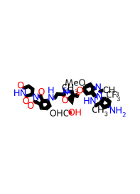 COc1cc2nc(C)nc(N[C@H](C)c3cc(N)cc(C(F)(F)F)c3)c2cc1OCC1(CN(C)C(=O)CCNc2cccc3c2C(=O)N(C2CCC(=O)NC2=O)C3=O)CC1.O=CO